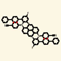 N#Cc1ccc(N(c2c(F)cc(F)cc2-c2ccc(-c3ccccc3)cc2)c2ccc3ccc4c(N(c5ccc(C#N)cc5)c5c(F)cc(F)cc5-c5ccc(-c6ccccc6)cc5)ccc5ccc2c3c54)cc1